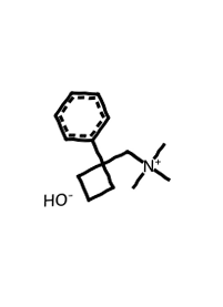 C[N+](C)(C)CC1(c2ccccc2)CCC1.[OH-]